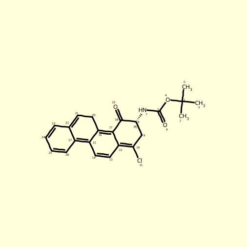 CC(C)(C)OC(=O)N[C@@H]1CC(Cl)=c2ccc3c(c2C1=O)CC=c1ccccc1=3